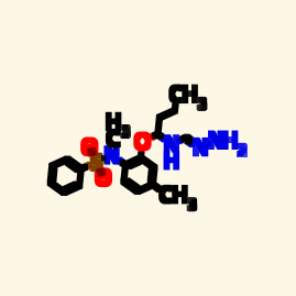 CCCC(NC=NN)Oc1cc(C)ccc1N(C)S(=O)(=O)c1ccccc1